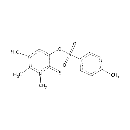 Cc1ccc(S(=O)(=O)Oc2cc(C)c(C)n(C)c2=S)cc1